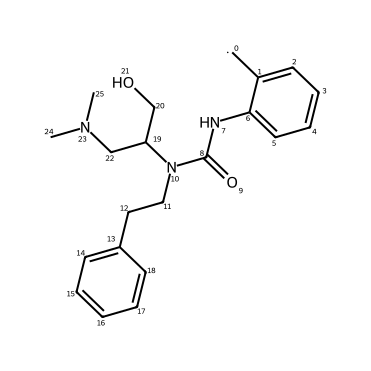 [CH2]c1ccccc1NC(=O)N(CCc1ccccc1)C(CO)CN(C)C